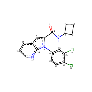 O=C(NC1CCC1)c1cc2cccnc2n1-c1ccc(Cl)c(Cl)c1